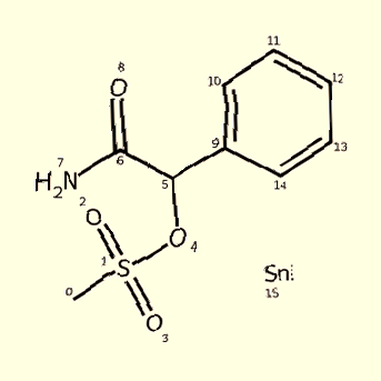 CS(=O)(=O)OC(C(N)=O)c1ccccc1.[Sn]